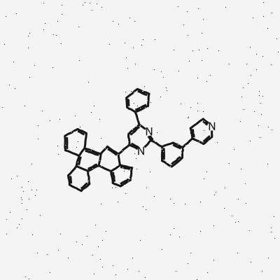 c1ccc(-c2cc(-c3cc4c5ccccc5c5ccccc5c4c4ccccc34)nc(-c3cccc(-c4ccncc4)c3)n2)cc1